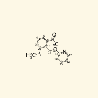 CCc1cccc(C(=O)Cl)c1COc1ccccn1